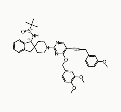 COc1cccc(CC#Cc2cnc(N3CCC4(CC3)Cc3ccccc3[C@H]4N[S+]([O-])C(C)(C)C)nc2OCc2ccc(OC)c(OC)c2)c1